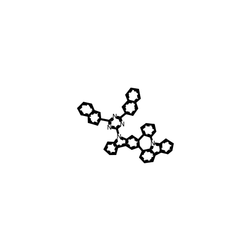 c1ccc2c(c1)-c1cc3c(cc1-c1cccc4c5ccccc5n-2c14)c1ccccc1n3-c1nc(-c2ccc3ccccc3c2)nc(-c2ccc3ccccc3c2)n1